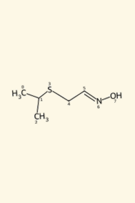 CC(C)SC/C=N/O